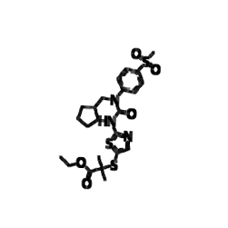 CCOC(=O)C(C)(C)Sc1cnc(NC(=O)N(CC2CCCC2)c2ccc(S(C)(=O)=O)cc2)s1